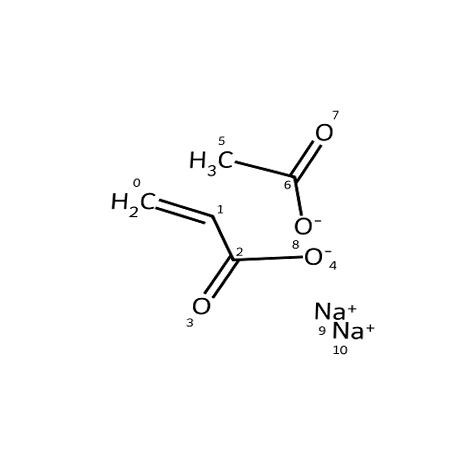 C=CC(=O)[O-].CC(=O)[O-].[Na+].[Na+]